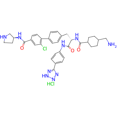 Cl.NCC1CCC(C(=O)N[C@@H](Cc2ccc(-c3ccc(C(=O)N[C@H]4CCNC4)cc3Cl)cc2)C(=O)Nc2ccc(-c3nn[nH]n3)cc2)CC1